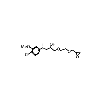 COc1cc(NCC(O)COCCOCC2CO2)ccc1Cl